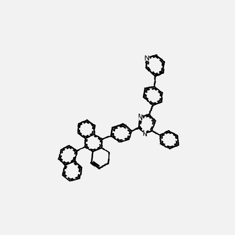 C1=Cc2c(c(-c3ccc(-c4nc(-c5ccccc5)cc(-c5ccc(-c6cccnc6)cc5)n4)cc3)c3ccccc3c2-c2cccc3ccccc23)CC1